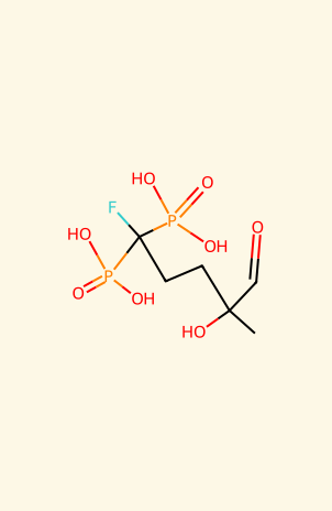 CC(O)(C=O)CCC(F)(P(=O)(O)O)P(=O)(O)O